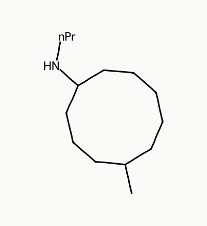 CCCNC1CCCCCC(C)CCC1